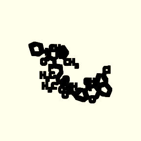 C[C@@H]1CCCN1[C@@H](C(=O)N(C)c1ccccc1)/C(F)=C/C[C@H](C)[C@@H](C)S(=O)(=O)NC(=O)c1ccc2c(c1)N(C)C[C@@]1(CCCc3cc(Cl)ccc31)CO2